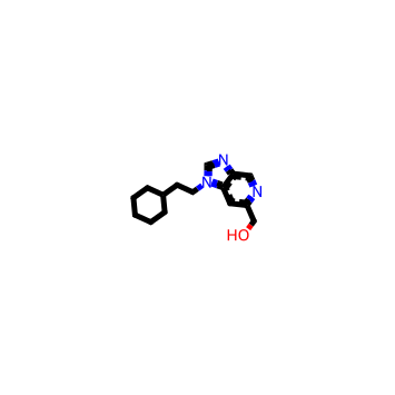 OCc1cc2c(cn1)ncn2CCC1CCCCC1